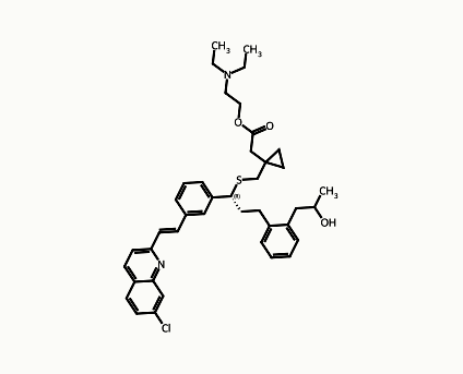 CCN(CC)CCOC(=O)CC1(CS[C@H](CCc2ccccc2CC(C)O)c2cccc(C=Cc3ccc4ccc(Cl)cc4n3)c2)CC1